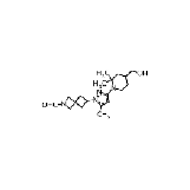 Cc1cc(N2CCC(CO)CC2(C)C)nn1C1CC2(C1)CN(C=O)C2